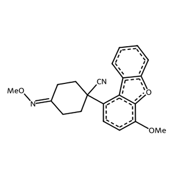 CON=C1CCC(C#N)(c2ccc(OC)c3oc4ccccc4c23)CC1